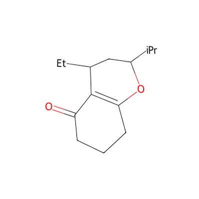 CCC1CC(C(C)C)OC2=C1C(=O)CCC2